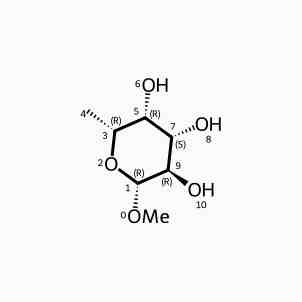 CO[C@@H]1O[C@H](C)[C@H](O)[C@H](O)[C@H]1O